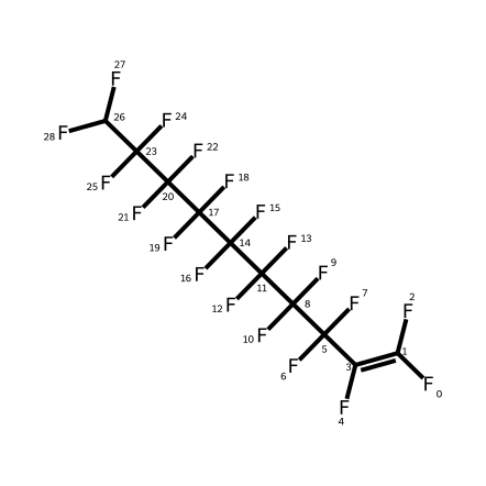 FC(F)=C(F)C(F)(F)C(F)(F)C(F)(F)C(F)(F)C(F)(F)C(F)(F)C(F)(F)C(F)F